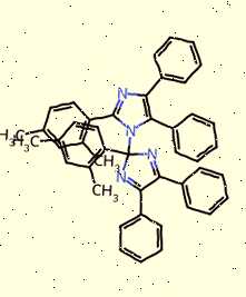 Cc1ccc(-c2nc(-c3ccccc3)c(-c3ccccc3)n2C2(c3ccc(C)cc3C)N=C(c3ccccc3)C(c3ccccc3)=N2)c(C)c1